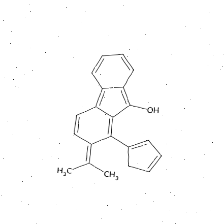 CC(C)=c1ccc2c(c1C1=CC=CC1)C(O)=c1ccccc1=2